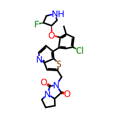 Cc1cc(Cl)cc(-c2ccnc3cc(CN4C(=O)C5CCCN5C4=O)sc23)c1O[C@@H]1CNC[C@@H]1F